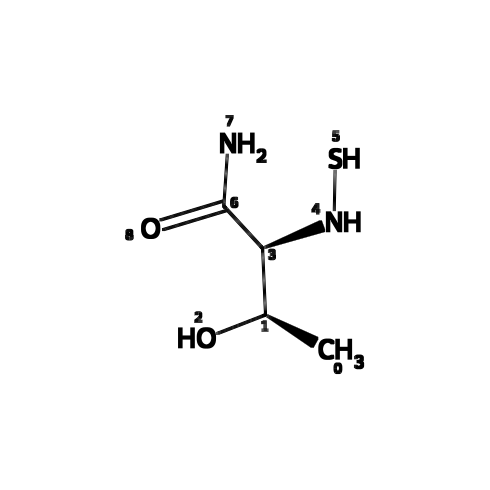 C[C@@H](O)[C@H](NS)C(N)=O